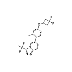 Cc1cc(OC2CC(F)(F)C2)ccc1-c1cn2c(C(C)(F)F)nnc2cn1